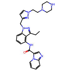 CCc1nn(Cc2ccn(CCN3CCNCC3)n2)c2cccc(NC(=O)c3cnc4ccccn34)c12